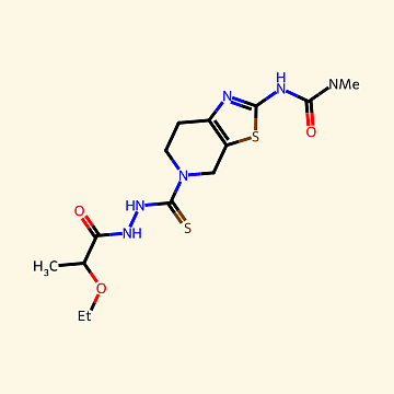 CCOC(C)C(=O)NNC(=S)N1CCc2nc(NC(=O)NC)sc2C1